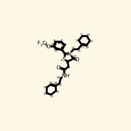 O=C(CC1SC(c2cccc(OC(F)(F)F)c2)N(CCC2=CCCCC2)C1=O)NCCC1=CCCCC1